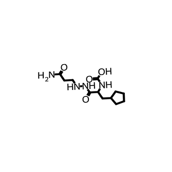 NC(=O)CCNNC(=O)C(CC1CCCC1)NC(=O)O